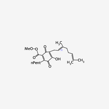 CCCCCC1=C(C(=O)OOC)C(=O)C(C/C=C(\C)CCC=C(C)C)=C(O)C1=O